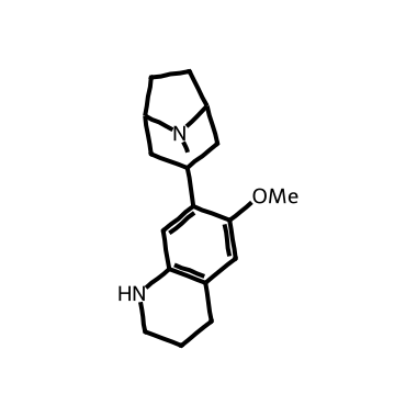 COc1cc2c(cc1C1CC3CCC(C1)N3C)NCCC2